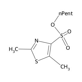 CCCCCOS(=O)(=O)c1nc(C)sc1C